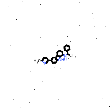 Cc1ccc(-c2ccc3[nH]c4c(c3c2)CCCC4N[C@H](C)c2ccccc2)cn1